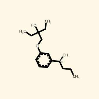 CCC[C@H](O)c1cccc(OCC(O)(CC)CC)c1